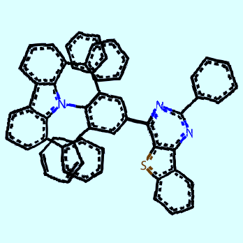 C1=CCC(c2cc(-c3nc(-c4ccccc4)nc4c3sc3ccccc34)cc(-c3ccccc3)c2-n2c3c(-c4ccccc4)cccc3c3cccc(-c4ccccc4)c32)C=C1